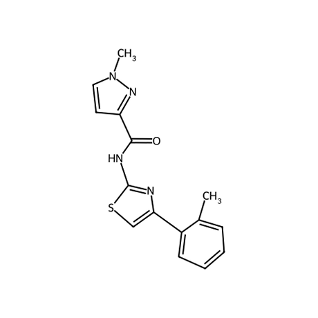 Cc1ccccc1-c1csc(NC(=O)c2ccn(C)n2)n1